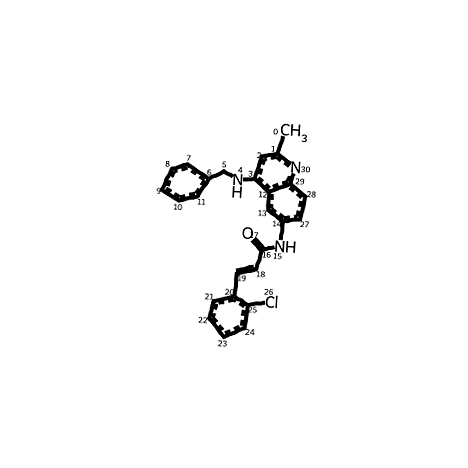 Cc1cc(NCc2ccccc2)c2cc(NC(=O)C=Cc3ccccc3Cl)ccc2n1